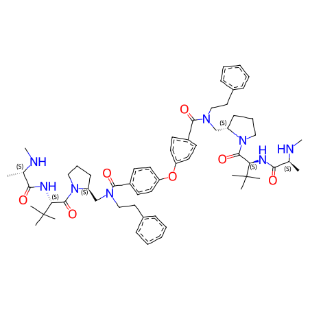 CN[C@@H](C)C(=O)N[C@H](C(=O)N1CCC[C@H]1CN(CCc1ccccc1)C(=O)c1ccc(Oc2ccc(C(=O)N(CCc3ccccc3)C[C@@H]3CCCN3C(=O)[C@@H](NC(=O)[C@H](C)NC)C(C)(C)C)cc2)cc1)C(C)(C)C